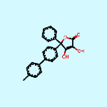 Cc1ccc(-c2ccc(C3(c4ccccc4)OC(=O)C(O)=C3O)cc2)cc1